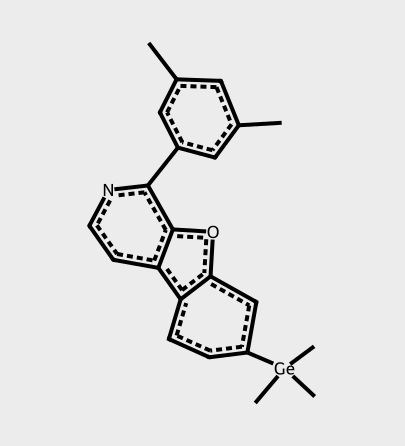 Cc1cc(C)cc(-c2nccc3c2oc2c[c]([Ge]([CH3])([CH3])[CH3])ccc23)c1